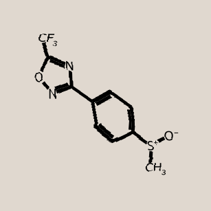 C[S+]([O-])c1ccc(-c2noc(C(F)(F)F)n2)cc1